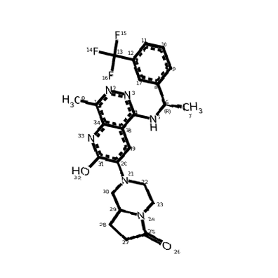 Cc1nnc(N[C@H](C)c2cccc(C(F)(F)F)c2)c2cc(N3CCN4C(=O)CCC4C3)c(O)nc12